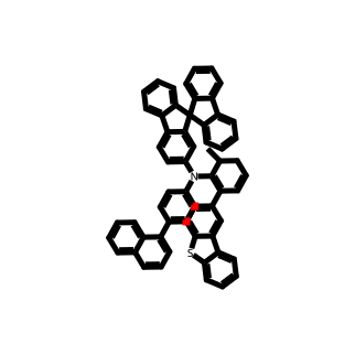 CC1CC=CC(c2ccc3sc4ccccc4c3c2)=C1N(c1ccc(-c2cccc3ccccc23)cc1)c1ccc2c(c1)C1(c3ccccc3-c3ccccc31)c1ccccc1-2